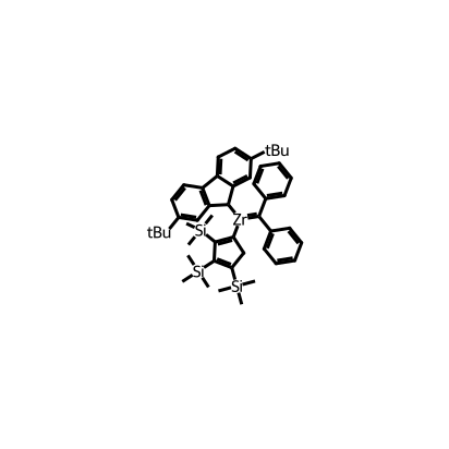 CC(C)(C)c1ccc2c(c1)[CH]([Zr]([C]1=C([Si](C)(C)C)C([Si](C)(C)C)=C([Si](C)(C)C)C1)=[C](c1ccccc1)c1ccccc1)c1cc(C(C)(C)C)ccc1-2